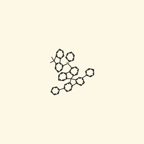 CC1(C)c2ccccc2-c2c(N(c3ccccc3)c3cccc4c3-c3ccccc3C43c4cc(-c5ccccc5)ccc4-c4ccc(-c5ccccc5)cc43)cccc21